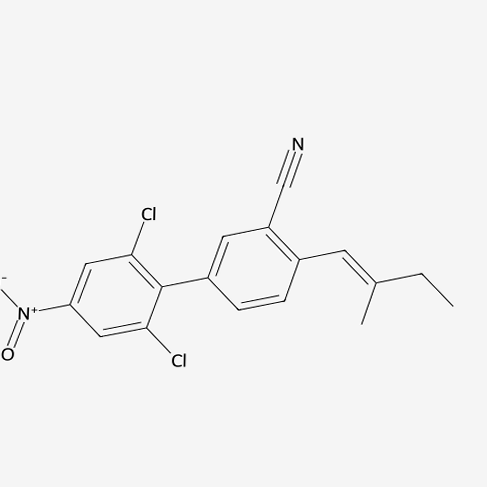 CC/C(C)=C/c1ccc(-c2c(Cl)cc([N+](=O)[O-])cc2Cl)cc1C#N